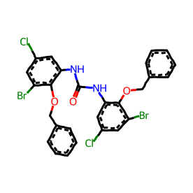 O=C(Nc1cc(Cl)cc(Br)c1OCc1ccccc1)Nc1cc(Cl)cc(Br)c1OCc1ccccc1